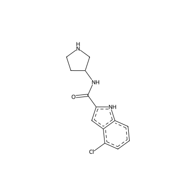 O=C(NC1CCNC1)c1cc2c(Cl)cccc2[nH]1